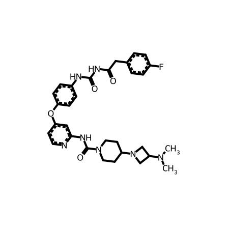 CN(C)C1CN(C2CCN(C(=O)Nc3cc(Oc4ccc(NC(=O)NC(=O)Cc5ccc(F)cc5)cc4)ccn3)CC2)C1